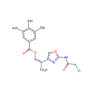 CC(=O)Oc1cc(C(=O)ON=C(C(=O)O)c2coc(NC(=O)CCl)n2)cc(OC(C)=O)c1OC(C)=O